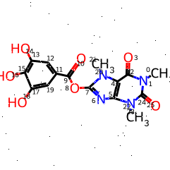 Cn1c(=O)c2c(nc(OC(=O)c3cc(O)c(O)c(O)c3)n2C)n(C)c1=O